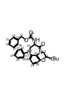 CC(C)(C)C(=O)CN1C(=O)C(NC(=O)OCc2ccccc2)CN(c2ccccc2)c2ccccc21